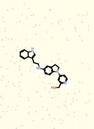 OCc1cc(N2CCc3cc(NCCC4=CNC5C=CC=CC45)ccc32)ccn1